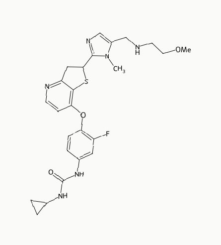 COCCNCc1cnc(C2Cc3nccc(Oc4ccc(NC(=O)NC5CC5)cc4F)c3S2)n1C